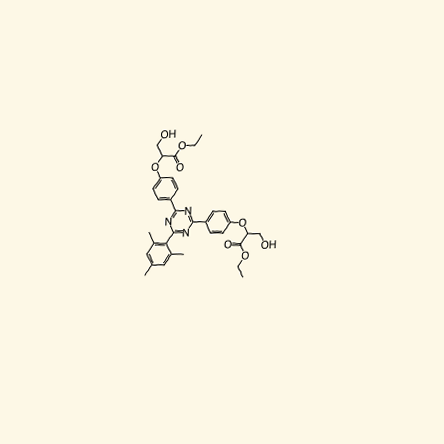 CCOC(=O)C(CO)Oc1ccc(-c2nc(-c3ccc(OC(CO)C(=O)OCC)cc3)nc(-c3c(C)cc(C)cc3C)n2)cc1